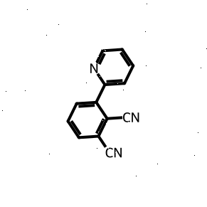 N#Cc1cccc(-c2ccccn2)c1C#N